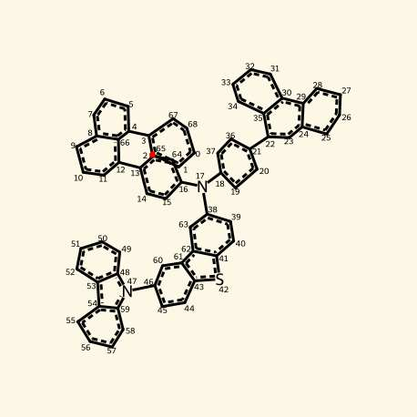 c1ccc(-c2cccc3cccc(-c4ccc(N(c5ccc(-c6cc7ccccc7c7ccccc67)cc5)c5ccc6sc7ccc(-n8c9ccccc9c9ccccc98)cc7c6c5)cc4)c23)cc1